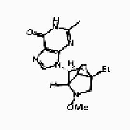 CC[C@]12CN(OC)[C@H]([C@H](n3cnc4c(=O)[nH]c(C)nc43)O1)[C@H]2C